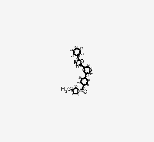 C[C@@H]1CCN(C(=O)c2ccc(-c3cncc(-c4nnc(-c5ccccc5)o4)n3)cc2)C1